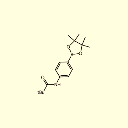 CC(C)(C)C(=O)Nc1ccc(B2OC(C)(C)C(C)(C)O2)cc1